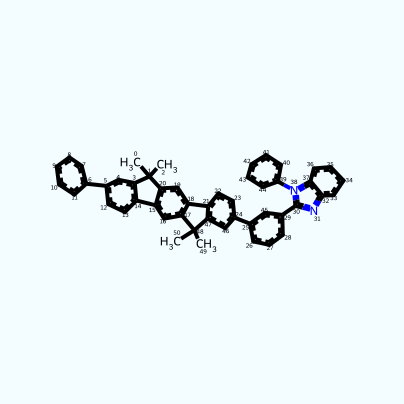 CC1(C)c2cc(-c3ccccc3)ccc2-c2cc3c(cc21)-c1ccc(-c2cccc(-c4nc5ccccc5n4-c4ccccc4)c2)cc1C3(C)C